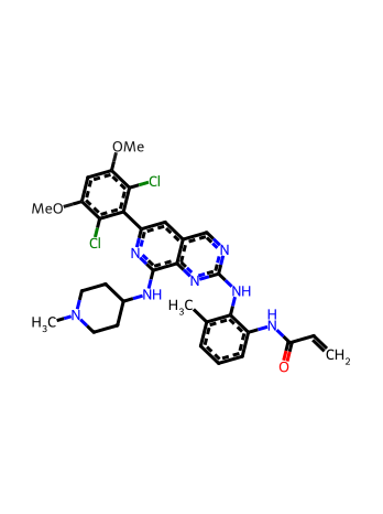 C=CC(=O)Nc1cccc(C)c1Nc1ncc2cc(-c3c(Cl)c(OC)cc(OC)c3Cl)nc(NC3CCN(C)CC3)c2n1